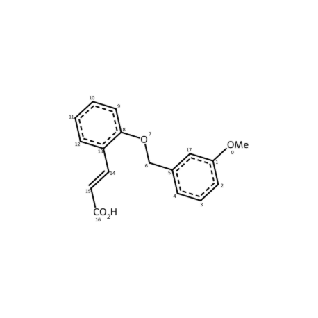 COc1cccc(COc2ccccc2/C=C/C(=O)O)c1